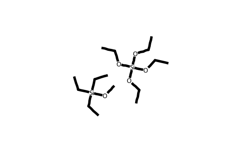 CCO[Si](OCC)(OCC)OCC.CC[Si](CC)(CC)OC